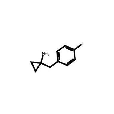 NC1(Cc2ccc(I)cc2)CC1